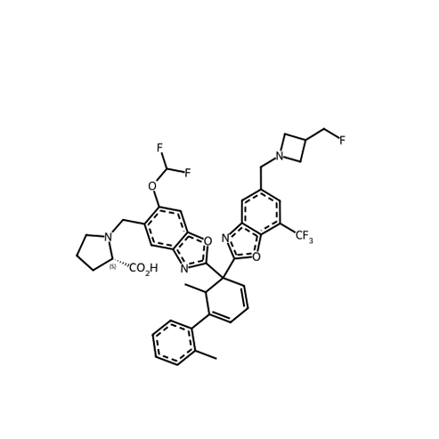 Cc1ccccc1C1=CC=CC(c2nc3cc(CN4CCC[C@H]4C(=O)O)c(OC(F)F)cc3o2)(c2nc3cc(CN4CC(CF)C4)cc(C(F)(F)F)c3o2)C1C